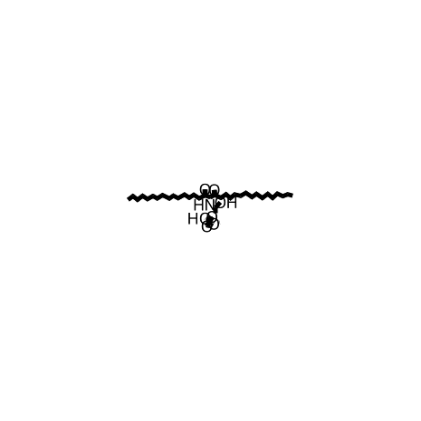 CCCCCCCCCCCCCCCC(=O)C(NC(C)O)C(=O)CCCCCCCCCCCCCCC.COS(=O)(=O)O